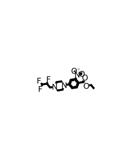 CCOC(=O)c1ccc(N2CCN(CC(F)C(F)F)CC2)cc1[N+](=O)[O-]